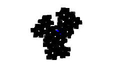 c1ccc(-c2ccc(-c3cc4c(cc3N(c3ccc(-c5cccc6ccccc56)cc3)c3ccc5c6ccccc6c6ccccc6c5c3)C3(c5ccccc5-c5ccccc53)c3ccccc3-4)cc2)cc1